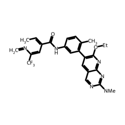 C=N/C(=C\C(=C/C)C(=O)Nc1ccc(C)c(-c2cc3cnc(NC)nc3nc2OCC)c1)C(F)(F)F